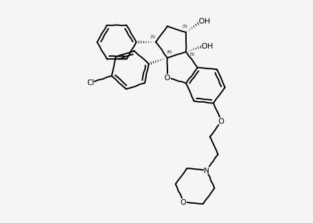 O[C@H]1C[C@@H](c2ccccc2)[C@]2(c3ccc(Cl)cc3)Oc3cc(OCCN4CCOCC4)ccc3[C@]12O